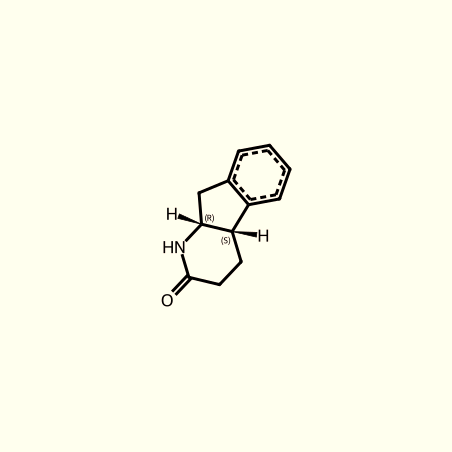 O=C1CC[C@H]2c3ccccc3C[C@H]2N1